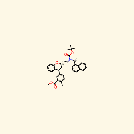 COC(=O)c1cc(C2C[C@@H](CCN(C(=O)OC(C)(C)C)[C@H](C)c3cccc4ccccc34)Oc3ccccc32)ccc1C